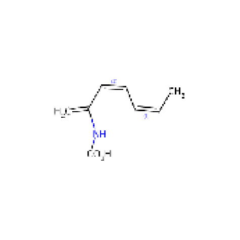 C=C(/C=C\C=C/C)NC(=O)O